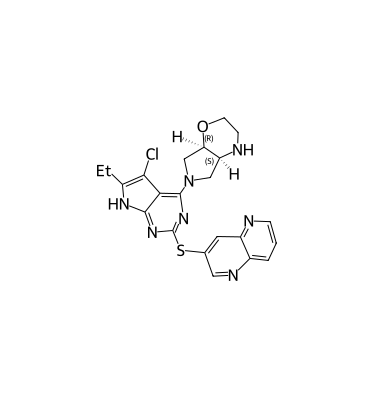 CCc1[nH]c2nc(Sc3cnc4cccnc4c3)nc(N3C[C@@H]4NCCO[C@@H]4C3)c2c1Cl